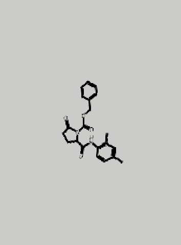 Cc1ccc(NC(=O)C2CCC(=O)N2C(=O)OCc2ccccc2)c(C)c1